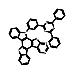 c1ccc(-c2nc(-c3ccccc3)nc(-c3cccc(-n4c5ccccc5c5c6sc7ccccc7c6c6c7cncnc7sc6c54)c3)n2)cc1